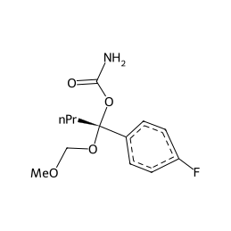 CCC[C@@](OCOC)(OC(N)=O)c1ccc(F)cc1